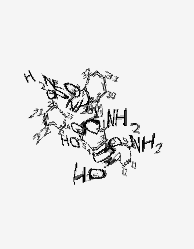 NC(=O)/C=C\C(=O)O.NC(=O)/C=C\C(=O)O.N[Si](N)(Oc1ccccc1)Oc1ccccc1